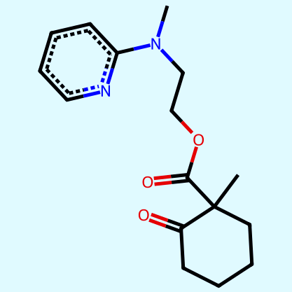 CN(CCOC(=O)C1(C)CCCCC1=O)c1ccccn1